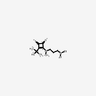 CCN(CC)CCCN(C)c1c(C(C)(C)S)c(=S)c1=O